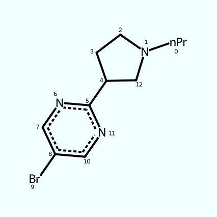 CCCN1CCC(c2ncc(Br)cn2)C1